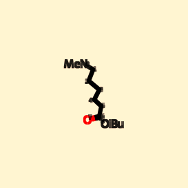 CNCCCCCC(=O)OCC(C)C